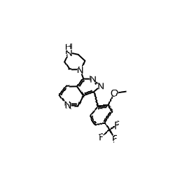 COc1cc(C(F)(F)F)ccc1-c1nnc(N2CCNCC2)c2ccncc12